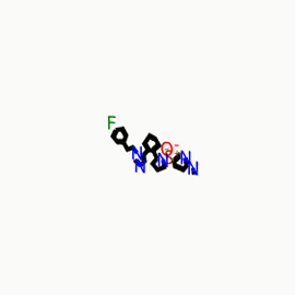 CN(C)c1ccc([S+]([O-])N2CCCC2c2ccccc2-c2cncn2CCc2ccc(F)cc2)cn1